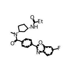 CCC(=O)N[C@H]1CC[C@@H](N(C)C(=O)c2ccc(-c3nc4ccc(F)cc4o3)cc2)C1